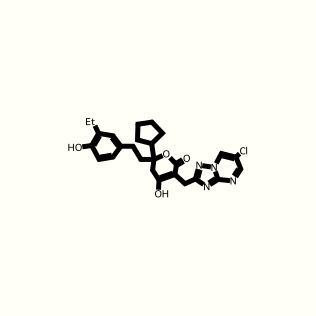 CCc1cc(CCC2(C3CCCC3)CC(O)=C(Cc3nc4ncc(Cl)cn4n3)C(=O)O2)ccc1O